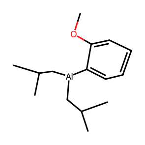 COc1cccc[c]1[Al]([CH2]C(C)C)[CH2]C(C)C